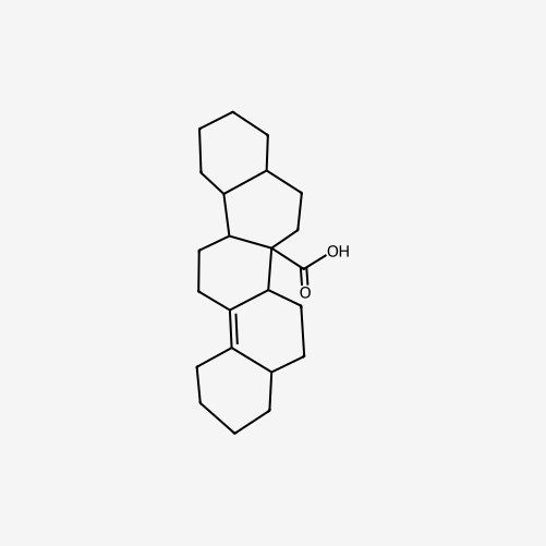 O=C(O)C12CCC3CCCCC3C1CCC1=C3CCCCC3CCC12